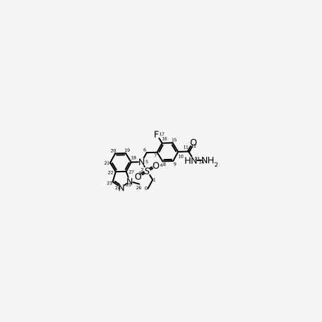 CCS(=O)(=O)N(Cc1ccc(C(=O)NN)cc1F)c1cccc2cnn(C)c12